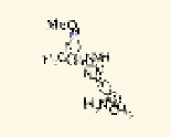 CO/N=C/c1ccc2c(n1)[C@@H](C)CCN2c1n[nH]c2nc(N3CCC4(CC3)CO[C@@H](C)[C@H]4N)cnc12